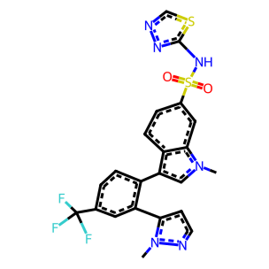 Cn1nccc1-c1cc(C(F)(F)F)ccc1-c1cn(C)c2cc(S(=O)(=O)Nc3nncs3)ccc12